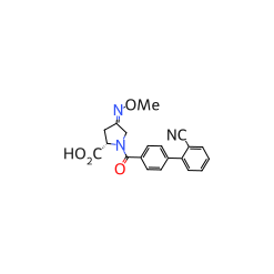 CON=C1C[C@@H](C(=O)O)N(C(=O)c2ccc(-c3ccccc3C#N)cc2)C1